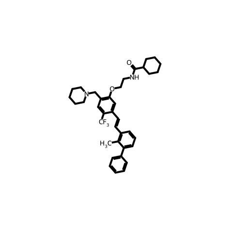 Cc1c(/C=C/c2cc(OCCNC(=O)C3CCCCC3)c(CN3CCCCC3)cc2C(F)(F)F)cccc1-c1ccccc1